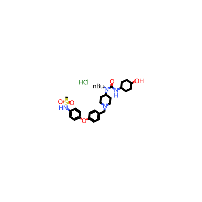 CCCCN(C(=O)NC1CCC(O)CC1)C1CCN(Cc2ccc(Oc3ccc(NS(C)(=O)=O)cc3)cc2)CC1.Cl